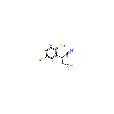 CCC(C#N)c1cc(F)ccc1F